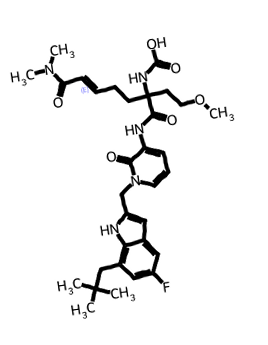 COCCC(CC/C=C/C(=O)N(C)C)(NC(=O)O)C(=O)Nc1cccn(Cc2cc3cc(F)cc(CC(C)(C)C)c3[nH]2)c1=O